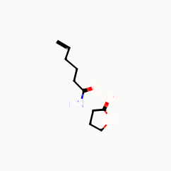 C=CCCCC(=O)N[C@H]1CCOC1=O